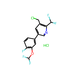 Cl.Fc1ccc(-c2cnc(C(F)F)c(CCl)c2)cc1OC(F)F